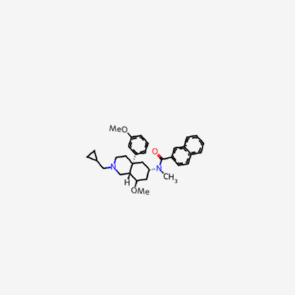 COc1cccc([C@@]23CCN(CC4CC4)C[C@H]2C(OC)C[C@@H](N(C)C(=O)c2ccc4ccccc4c2)C3)c1